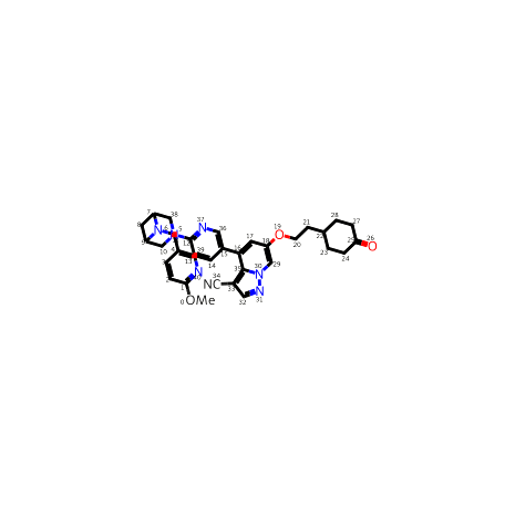 COc1ccc(CN2C3CC2CN(c2ccc(-c4cc(OCCC5CCC(=O)CC5)cn5ncc(C#N)c45)cn2)C3)cn1